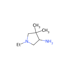 CCN1CC(N)C(C)(C)C1